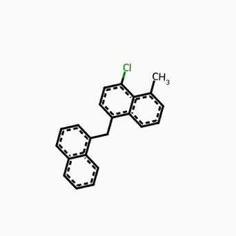 Cc1cccc2c(Cc3cccc4ccccc34)ccc(Cl)c12